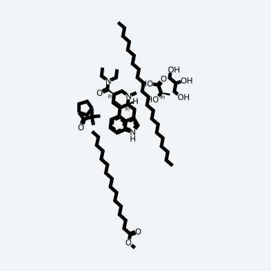 CC1(C)C(=O)C2CCC1C2.CCCCCCCCCCCCCCCC(=O)OC.CCCCCCCCCCCCCCCCCCCCCC.CCN(CC)C(=O)[C@@H]1C=C2c3cccc4[nH]cc(c34)C[C@H]2N(C)C1.C[C@@H](O)C(=O)O.OCC(O)CO